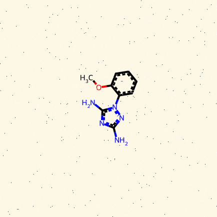 COc1ccccc1-n1nc(N)nc1N